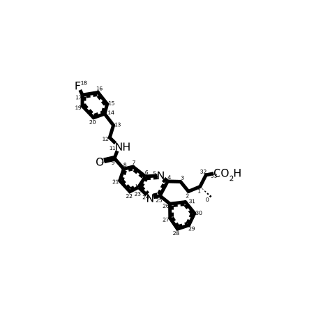 C[C@H](CCc1nc2cc(C(=O)NCCc3ccc(F)cc3)ccc2nc1-c1ccccc1)CC(=O)O